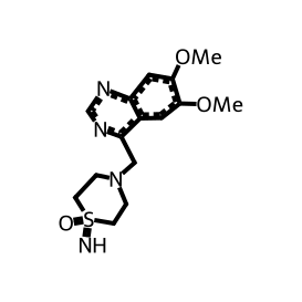 COc1cc2ncnc(CN3CCS(=N)(=O)CC3)c2cc1OC